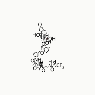 Cc1ccc(OCc2cccc(NC(=O)C(C)NC(=O)C(C)NC(=O)CCNC(=O)C(CC(F)(F)F)SI)c2)c(F)c1C1O[C@@H]2C[C@H]3[C@@H]4CCC5=CC(=O)C=C[C@]5(C)[C@H]4[C@@H](O)C[C@]3(C)[C@]2(C(=O)CO)O1